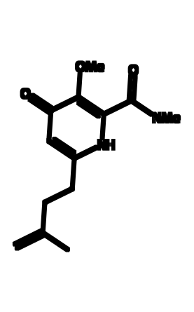 C=C(C)CCc1cc(=O)c(OC)c(C(=O)NC)[nH]1